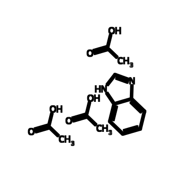 CC(=O)O.CC(=O)O.CC(=O)O.c1ccc2[nH]cnc2c1